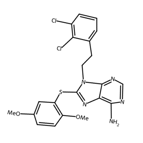 COc1ccc(OC)c(Sc2nc3c(N)ncnc3n2CCc2cccc(Cl)c2Cl)c1